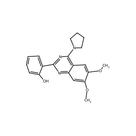 COc1cc2nc(-c3ccccc3O)nc(N3CCCC3)c2cc1OC